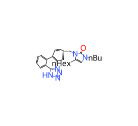 CCCCCCc1cn(CCCC)c(=O)n1Cc1ccc(-c2ccccc2-c2nnn[nH]2)cc1